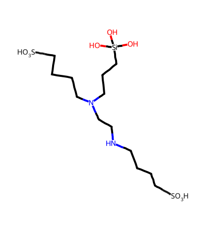 O=S(=O)(O)CCCCNCCN(CCCCS(=O)(=O)O)CCC[Si](O)(O)O